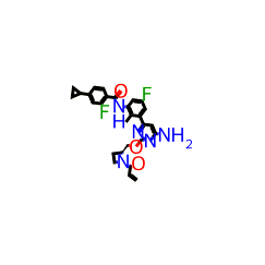 C=CC(=O)N1CC[C@H]1COc1nc(N)cc(-c2cc(F)cc(NC(=O)c3ccc(C4CC4)cc3F)c2C)n1